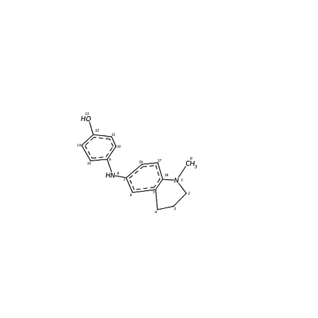 CN1CCCc2cc(Nc3ccc(O)cc3)ccc21